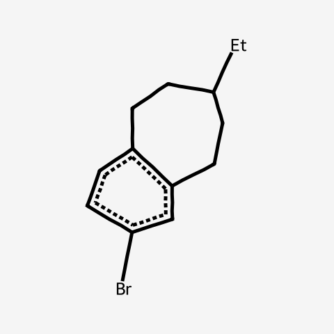 CCC1CCc2ccc(Br)cc2CC1